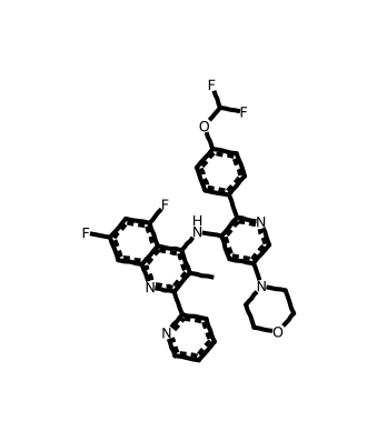 Cc1c(-c2ccccn2)nc2cc(F)cc(F)c2c1Nc1cc(N2CCOCC2)cnc1-c1ccc(OC(F)F)cc1